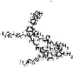 COCCOCCCN1/C(=C/C=C/C=C/C=C/C2=[N+](CCOCCOC)c3ccc(-c4ccc(C)cc4)cc3C2(C)C)C(C)(CCCCCC(=O)NCCSS(C)(=O)=O)c2cc(-c3ccc(S(=O)(=O)O)cc3)ccc21